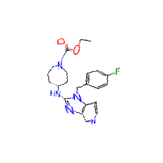 CCOC(=O)N1CCCC(Nc2nc3cnccc3n2Cc2ccc(F)cc2)CC1